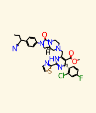 CCC(C#N)c1ccc(N2C[C@@H]3CN(CC4=C(C(=O)OC)[C@H](c5ccc(F)cc5Cl)N=C(c5nccs5)N4)CCN3C2=O)cc1